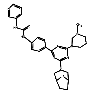 CN1CCCN(c2nc(-c3ccc(NC(=O)Nc4cccnc4)cc3)nc(N3CC4CCC(C3)O4)n2)C1